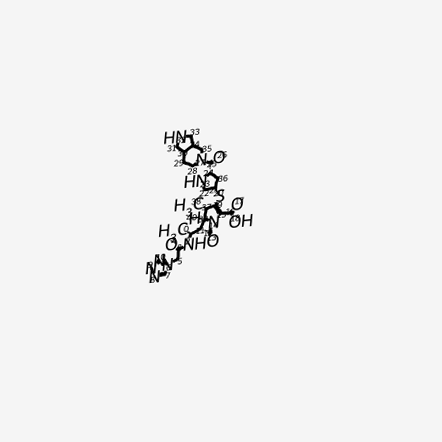 C[C@@H](NC(=O)Cn1cnnn1)[C@H]1C(=O)N2C(C(=O)O)=C(S[C@@H]3CN[C@H](C(=O)N4CCC5CNCC5C4)C3)[C@H](C)[C@H]12